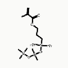 C=C(C)C(=O)OCCC[Si](CCC)(CCC)O[Si](C)(C)O[Si](C)(C)C